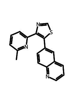 Cc1cccc(-c2ncsc2-c2ccc3ncccc3c2)n1